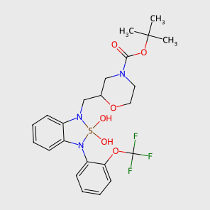 CC(C)(C)OC(=O)N1CCOC(CN2c3ccccc3N(c3ccccc3OC(F)(F)F)S2(O)O)C1